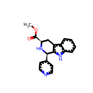 COC(=O)[C@H]1Cc2c([nH]c3ccccc23)[C@@H](c2ccncc2)N1